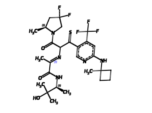 C/C(=N\C(C(=O)N1CC(F)(F)C[C@@H]1C)C(=S)c1cnc(NC2(C)CCC2)cc1C(F)(F)F)C(=O)N[C@@H](C)C(C)(C)O